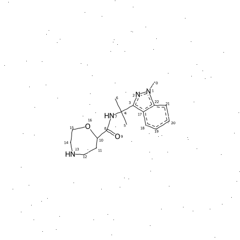 Cn1nc(C(C)(C)NC(=O)C2CCNCCO2)c2ccccc21